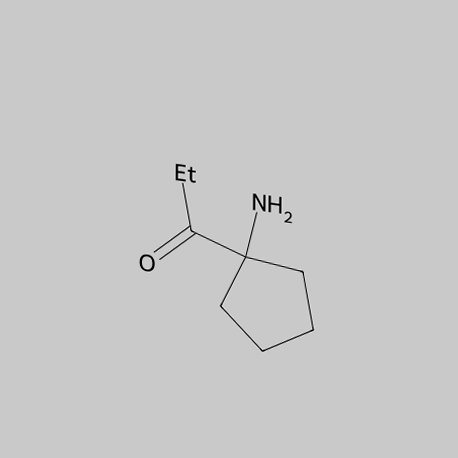 CCC(=O)C1(N)CCCC1